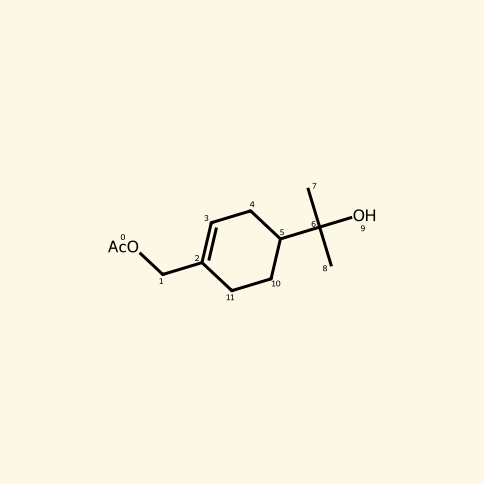 CC(=O)OCC1=CCC(C(C)(C)O)CC1